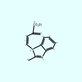 C=C(/C=C\n1c(C)nc2ccccc21)C(=O)OCC